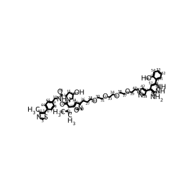 Cc1ncsc1-c1ccc(CNC(=O)[C@@H]2C[C@@H](O)CN2C(=O)[C@H](c2cc(CCCOCCOCCOCCOCCn3cc(C4=C(N)NNC(c5ccccc5O)=C4)cn3)no2)C(C)C)cc1